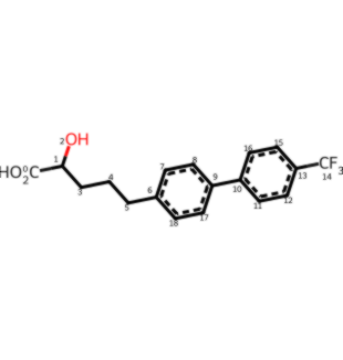 O=C(O)C(O)CCCc1ccc(-c2ccc(C(F)(F)F)cc2)cc1